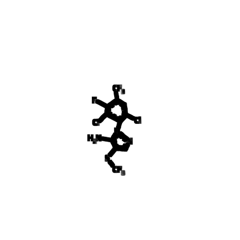 Nc1c(SC(F)(F)F)cnn1-c1c(Cl)cc(C(F)(F)F)c(F)c1Cl